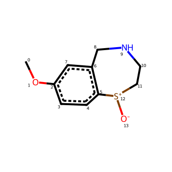 COc1ccc2c(c1)CNCC[S+]2[O-]